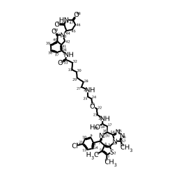 Cc1sc2c(c1C)C(c1ccc(Cl)cc1)=N[C@@H](CC(O)NCCOCCNCCCCCCC(=O)Nc1cccc3c1CN(C1CCC(=O)NC1=O)C3=O)c1nnc(C)n1-2